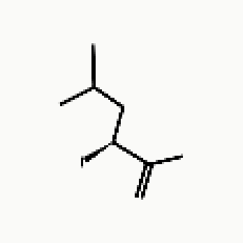 C=C(C)[C@@H](I)CC(C)C